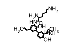 CC=Cc1cc(NC(=O)C(N)CCCCN)c(O)c(-c2ccc(O)c(C=CC)c2)c1.Cl.Cl